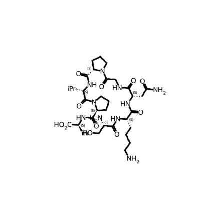 CC(C)[C@H](NC(=O)[C@@H]1CCCN1C(=O)[C@@H](NC(=O)[C@@H]1CCCN1C(=O)CNC(=O)[C@H](CC(N)=O)NC(=O)[C@H](CCCCN)NC(=O)[C@@H](N)CO)C(C)C)C(=O)O